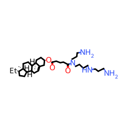 CC[C@H]1CC[C@H]2[C@@H]3CC=C4C[C@@H](OC(=O)CCCC(=O)N(CCCN)CCCCNCCCN)CC[C@]4(C)[C@H]3CC[C@]12C